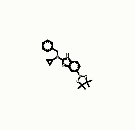 CC1(C)OB(c2ccc3[nH]c(N(Cc4ccccc4)C4CC4)nc3c2)OC1(C)C